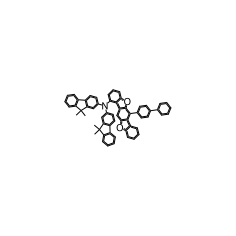 CC1(C)c2ccccc2-c2ccc(N(c3ccc4c(c3)C(C)(C)c3ccccc3-4)c3cccc4oc5c(-c6ccc(-c7ccccc7)cc6)c6c(cc5c34)oc3ccccc36)cc21